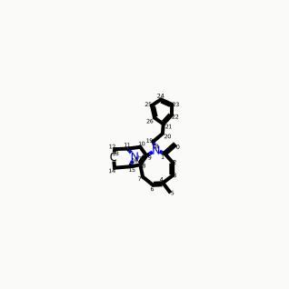 C=C1/C=C\C(C)=C/CC2=C(CC3CCCC2N3C)N1CCc1ccccc1